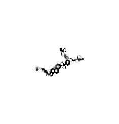 C=CC(=O)OCCOc1ccc(C(=O)OC2CC[C@@]3(C)C(=CCC4C3CC[C@@]3(C)C4CC[C@@H]3[C@H](C)CCCC(C)C)C2)cc1OCCOC(=O)C=C